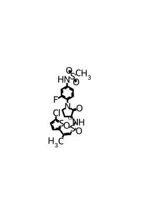 CC(=CS(=O)(=O)N[C@H]1CCN(c2ccc(NS(C)(=O)=O)cc2F)C1=O)c1ccc(Cl)s1